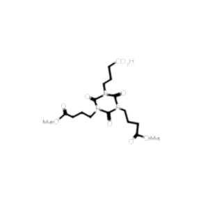 COC(=O)CCCn1c(=O)n(CCCC(=O)O)c(=O)n(CCCC(=O)OC)c1=O